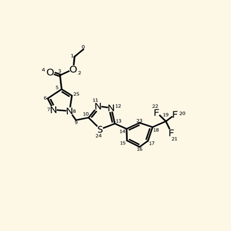 CCOC(=O)c1cnn(Cc2nnc(-c3cccc(C(F)(F)F)c3)s2)c1